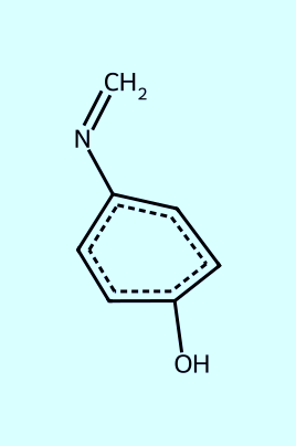 C=Nc1ccc(O)cc1